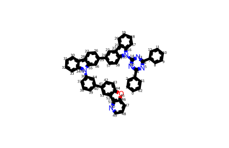 c1ccc(-c2nc(-c3ccccc3)nc(-n3c4ccccc4c4cc(-c5ccc6c7ccccc7n(-c7cccc(-c8ccc9oc%10cccnc%10c9c8)c7)c6c5)ccc43)n2)cc1